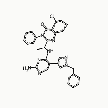 C[C@H](Nc1nc(N)ncc1-c1cnn(Cc2ccccc2)c1)c1nc2cccc(Cl)c2c(=O)n1-c1ccccc1